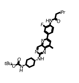 Cc1cc(-c2ccc(NC(=O)CC(C)C)c(F)c2)nc2cnc(N[C@H]3CC[C@H](NC(=O)OC(C)(C)C)CC3)nc12